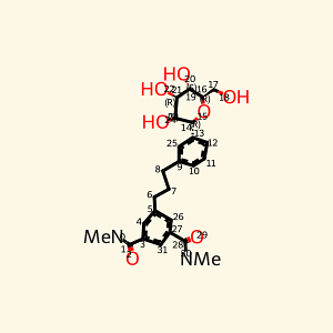 CNC(=O)c1cc(CCCc2cccc([C@H]3O[C@H](CO)[C@@H](O)[C@H](O)[C@@H]3O)c2)cc(C(=O)NC)c1